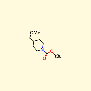 COCC1CCN(C(=O)OC(C)(C)C)CC1